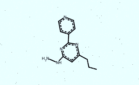 CCCc1cc(NN)nc(-c2ccncc2)n1